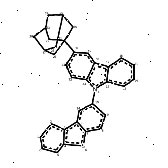 c1ccc2c(c1)sc1ccc(-n3c4ccccc4c4cc(C56CC7CC(CC(C7)C5)C6)ccc43)cc12